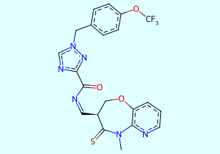 CN1C(=S)[C@@H](/C=N\C(=O)c2ncn(Cc3ccc(OC(F)(F)F)cc3)n2)COc2cccnc21